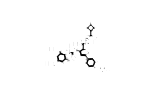 COc1ccc(-c2cc(NC(=O)Nc3c(C)cc(C)cc3C)c(C(=O)NOC(=O)C3CCC3)s2)cc1